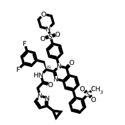 CS(=O)(=O)c1ccccc1-c1ccc2c(=O)n(-c3ccc(S(=O)(=O)N4CCOCC4)cc3)c([C@H](Cc3cc(F)cc(F)c3)NC(=O)Cn3ccc(C4CC4)n3)nc2c1